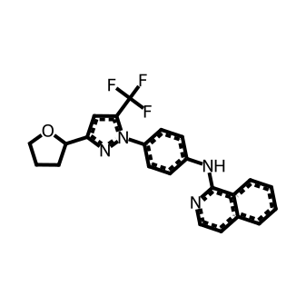 FC(F)(F)c1cc(C2CCCO2)nn1-c1ccc(Nc2nccc3ccccc23)cc1